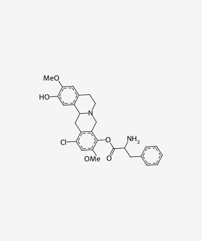 COc1cc2c(cc1O)C1Cc3c(Cl)cc(OC)c(OC(=O)C(N)Cc4ccccc4)c3CN1CC2